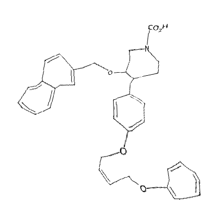 O=C(O)N1CCC(c2ccc(OC/C=C\COc3ccccc3)cc2)C(OCc2ccc3ccccc3c2)C1